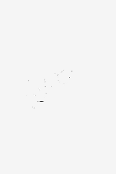 NC(=O)N1CCCCC1(O)C(=O)Cc1ccccc1